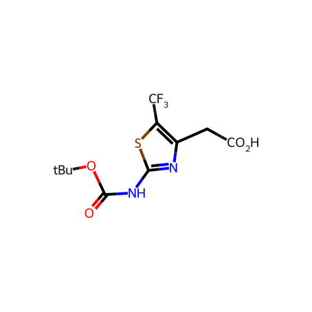 CC(C)(C)OC(=O)Nc1nc(CC(=O)O)c(C(F)(F)F)s1